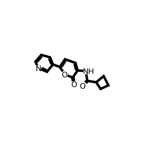 O=C(Nc1ccc(-c2cccnc2)oc1=O)C1CCC1